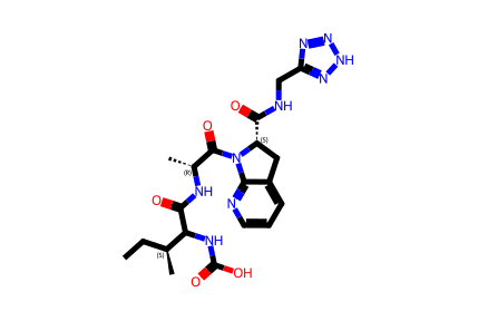 CC[C@H](C)C(NC(=O)O)C(=O)N[C@H](C)C(=O)N1c2ncccc2C[C@H]1C(=O)NCc1nn[nH]n1